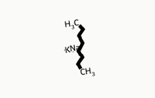 CCCCCCCC.[K].[Na]